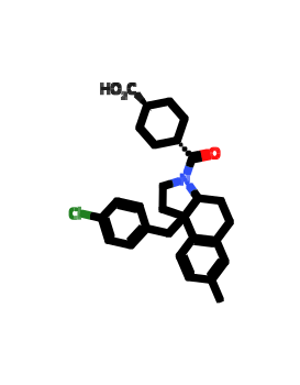 Cc1ccc2c(c1)CCC1N(C(=O)[C@H]3CC[C@H](C(=O)O)CC3)CCC21Cc1ccc(Cl)cc1